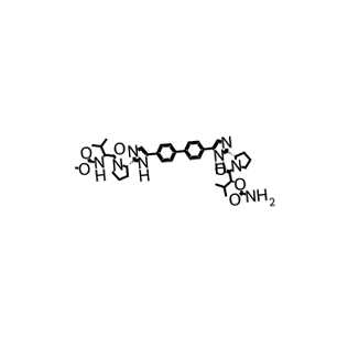 COC(=O)N[C@H](C(=O)N1CCC[C@H]1c1ncc(-c2ccc(-c3ccc(-c4cnc([C@@H]5CCCN5C(=O)[C@@H](OC(N)=O)C(C)C)[nH]4)cc3)cc2)[nH]1)C(C)C